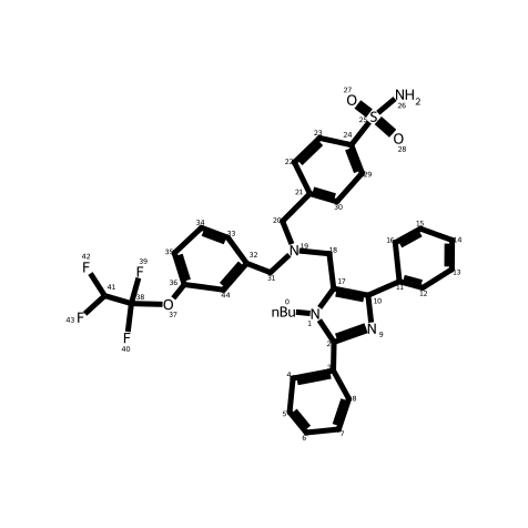 CCCCn1c(-c2ccccc2)nc(-c2ccccc2)c1CN(Cc1ccc(S(N)(=O)=O)cc1)Cc1cccc(OC(F)(F)C(F)F)c1